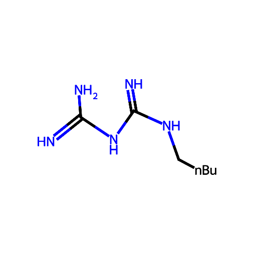 CCCCCNC(=N)NC(=N)N